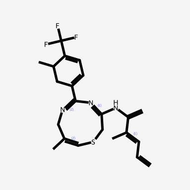 C=C/C=C(\C)C(=C)N/C1=N/C(C2=CC=C(C(F)(F)F)C(C)C2)=N\C/C(C)=C\SC1